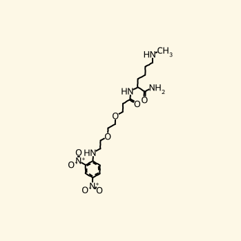 CNCCCCC(NC(=O)CCOCCOCCNc1ccc([N+](=O)[O-])cc1[N+](=O)[O-])C(N)=O